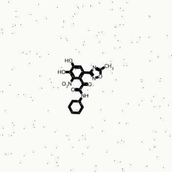 Cc1nc(-c2cc(O)c(O)c([N+](=O)[O-])c2C(=O)C(=O)NC2CCCCC2)no1